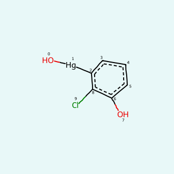 [OH][Hg][c]1cccc(O)c1Cl